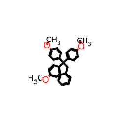 COc1ccc(C(Cc2ccccc2)(c2ccc(OC)cc2)c2ccc(OC)cc2)cc1